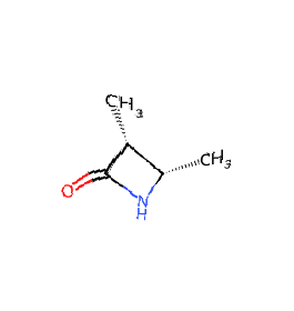 C[C@@H]1NC(=O)[C@@H]1C